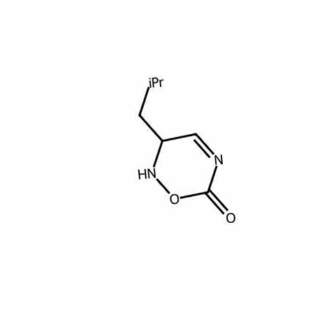 CC(C)CC1C=NC(=O)ON1